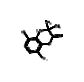 Cc1ccc(Cl)c2c1NC(=O)C(C)(C)N2